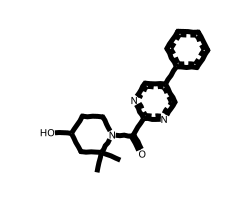 CC1(C)CC(O)CCN1C(=O)c1ncc(-c2ccccc2)cn1